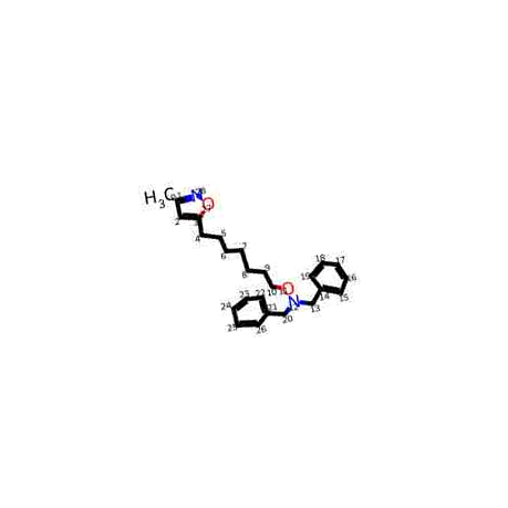 Cc1cc(CCCCCCCON(Cc2ccccc2)Cc2ccccc2)on1